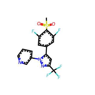 CS(=O)(=O)c1c(F)cc(-c2cc(C(F)(F)F)nn2-c2cccnc2)cc1F